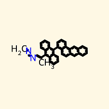 C=N/C=N\C=C(/C)c1c2ccccc2c(-c2cccc3c2ccc2cc4ccccc4cc23)c2ccccc12